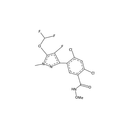 CONC(=O)c1cc(-c2nn(C)c(OC(F)F)c2F)c(Cl)cc1Cl